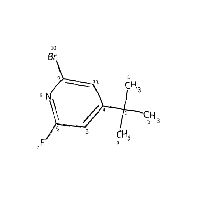 CC(C)(C)c1cc(F)nc(Br)c1